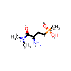 CN(C)C(=O)C(N)CCP(C)(=O)O